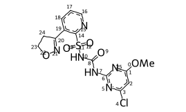 COc1cc(Cl)nc(NC(=O)NS(=O)(=O)c2ncccc2C2=NOCC2)n1